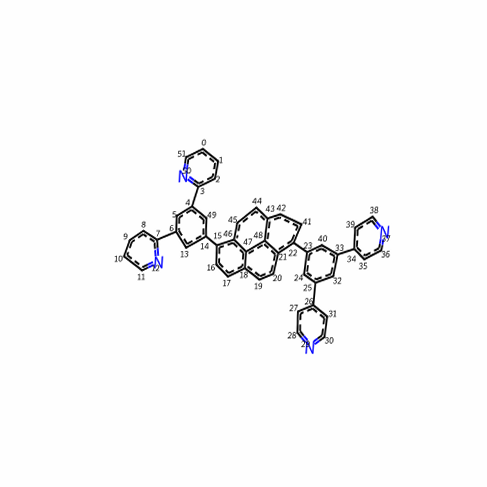 c1ccc(-c2cc(-c3ccccn3)cc(-c3ccc4ccc5c(-c6cc(-c7ccncc7)cc(-c7ccncc7)c6)ccc6ccc3c4c65)c2)nc1